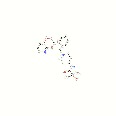 CC(C)(O)C(=O)NC1CCN(Cc2ccccc2[C@H]2COc3cccnc3O2)CC1